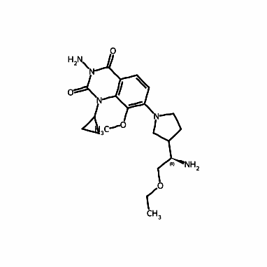 CCOC[C@H](N)C1CCN(c2ccc3c(=O)n(N)c(=O)n(C4CC4)c3c2OC)C1